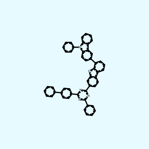 c1ccc(-c2ccc(-c3nc(-c4ccccc4)nc(-c4ccc5c(c4)oc4c(-c6ccc7c(c6)c6ccccc6n7-c6ccccc6)cccc45)n3)cc2)cc1